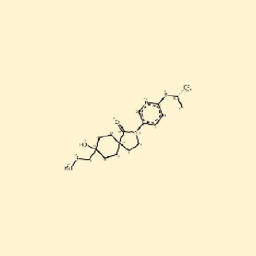 C[C@H](Oc1ccc(N2CCC3(CCC(O)(CSC(C)(C)C)CC3)C2=O)cn1)C(F)(F)F